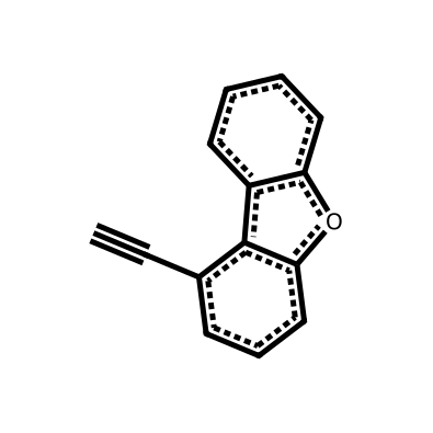 C#Cc1cccc2oc3ccccc3c12